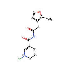 Cc1occc1CC(=O)NC(=O)C1=CN(Cl)CC=C1